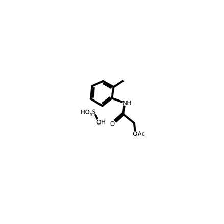 CC(=O)OCC(=O)Nc1ccccc1C.O=S(=O)(O)O